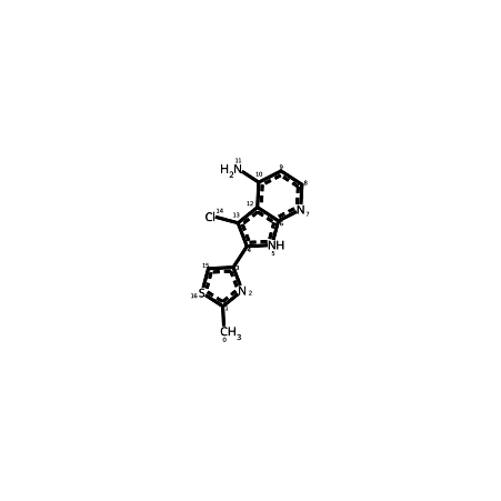 Cc1nc(-c2[nH]c3nccc(N)c3c2Cl)cs1